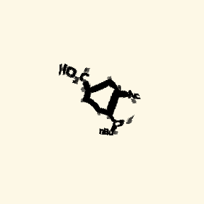 CCCCOc1ccc(C(=O)O)cc1C(C)=O